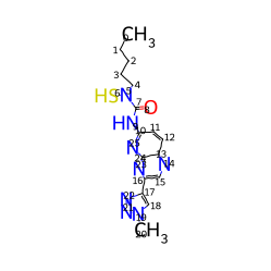 CCCCCN(S)C(=O)Nc1ccc2ncc(-c3cn(C)nn3)nc2n1